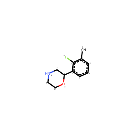 N#Cc1cccc(C2CNCCO2)c1F